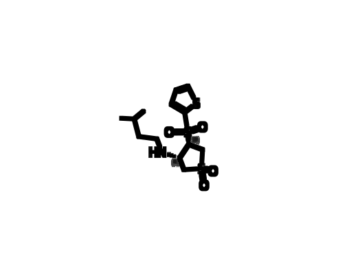 CC(C)CCN[C@H]1CS(=O)(=O)C[C@@H]1S(=O)(=O)c1cccs1